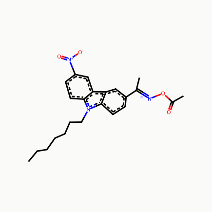 CCCCCCCn1c2ccc(/C(C)=N/OC(C)=O)cc2c2cc([N+](=O)[O-])ccc21